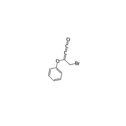 O=C=C=C(CBr)Oc1ccccc1